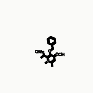 COC(C)c1c(OCc2ccccc2)c(=O)cc(C)n1C.Cl